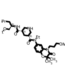 CCOC[C@@H](CC(C)C)NC(=O)[C@@H]1CNC[C@H](C(=O)N(CC)c2ccc3c(c2)N(CCCOC)C(=O)C(C)(C)O3)C1